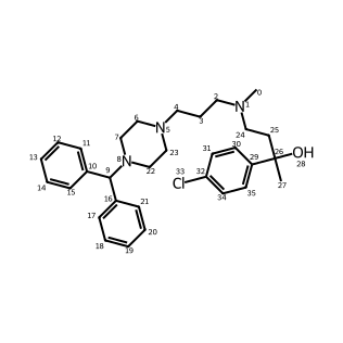 CN(CCCN1CCN(C(c2ccccc2)c2ccccc2)CC1)CCC(C)(O)c1ccc(Cl)cc1